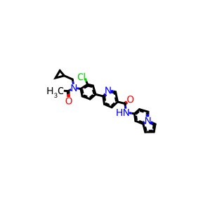 CC(=O)N(CC1CC1)c1ccc(-c2ccc(C(=O)Nc3ccn4cccc4c3)cn2)cc1Cl